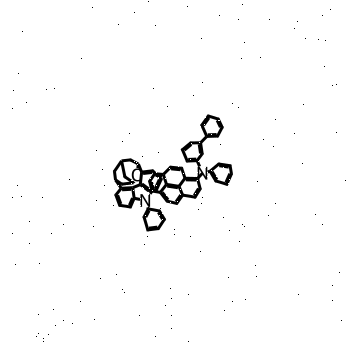 c1ccc(-c2cccc(N(c3ccccc3)c3ccc4ccc5c(N(c6ccccc6)c6cccc7c6-c6ccccc6C6CC8CC(C6)CC7C8)ccc6ccc3c4c65)c2)cc1